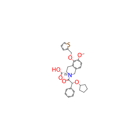 COc1ccc2c(c1OCc1cccs1)C[C@@H](C(=O)O)N(C(=O)C(OC1CCCC1)c1ccccc1)C2